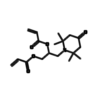 C=CC(=O)OCC(CN1C(C)(C)CC(=O)CC1(C)C)OC(=O)C=C